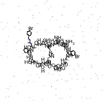 CC(/C=C/c1ccc(Br)cc1)=C\[C@H](O)[C@@H]1CC(=O)N[C@@H](CO)C(=O)N[C@@H]2Cn3cnc(c3)C[C@H](NC(=O)C[C@H](O)C[C@@H](C(=O)O)NC(=O)CCNC(=O)[C@H](Cc3ccc(Br)cc3)NC(=O)[C@H]([C@@H](O)C(N)=O)NC(=O)[C@H](CC(N)=O)NC2=O)C(=O)N[C@@H]([C@H](C)O)C(=O)N[C@@H](CO)C(=O)N[C@@H](Cc2ccccc2)C(=O)N1